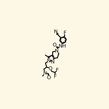 Cc1c2c(nn1CC(CN(C)C=O)OCC(F)F)CCN(C(=O)Nc1ccc(F)c(C#N)c1)C2